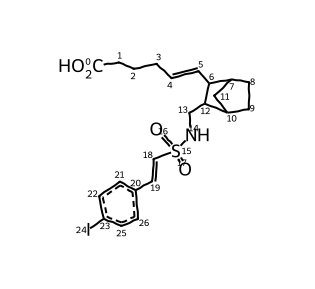 O=C(O)CCC/C=C/C1C2CCC(C2)C1CNS(=O)(=O)/C=C/c1ccc(I)cc1